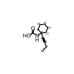 O=C(O)NC1(C#CCI)CCCCC1